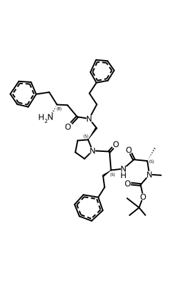 C[C@@H](C(=O)N[C@@H](CCc1ccccc1)C(=O)N1CCC[C@H]1CN(CCc1ccccc1)C(=O)C[C@H](N)Cc1ccccc1)N(C)C(=O)OC(C)(C)C